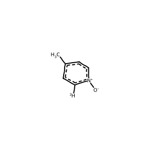 [2H]c1cc(C)cc[n+]1[O-]